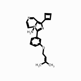 CC(C)=CCOc1cccc(C2=NC(C3=CC=C3)=C3C=NC=C[N+]23N)c1